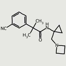 CC(C)(C(=O)NC1(CN2CCC2)CC1)c1cccc(C#N)c1